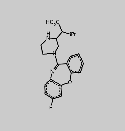 CC(C)C(C(=O)O)C1CN(C2=Nc3ccc(F)cc3Oc3ccccc32)CCN1